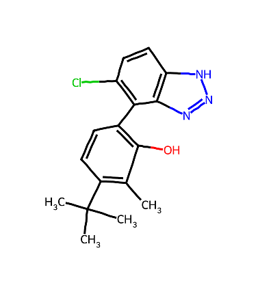 Cc1c(C(C)(C)C)ccc(-c2c(Cl)ccc3[nH]nnc23)c1O